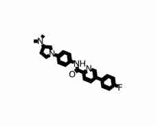 CN(C)C1CCN(c2ccc(NC(=O)c3ccc(-c4ccc(F)cc4)cn3)cc2)C1